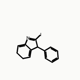 IC1=NC2=CCCC=C2C1c1ccccc1